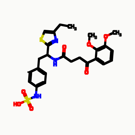 CCc1csc(C(Cc2[c]cc(NS(=O)(=O)O)cc2)NC(=O)CCC(=O)c2cccc(OC)c2OC)n1